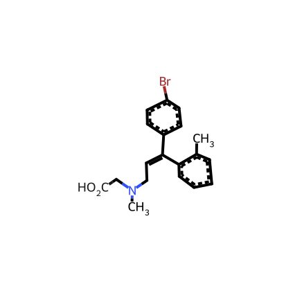 Cc1ccccc1/C(=C\CN(C)CC(=O)O)c1ccc(Br)cc1